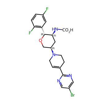 O=C(O)N[C@H]1C[C@@H](N2CC=C(c3ncc(Br)cn3)CC2)CO[C@@H]1c1cc(F)ccc1F